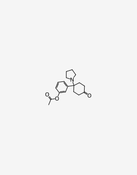 CC(=O)Oc1cccc(C2(N3CCCC3)CCC(=O)CC2)c1